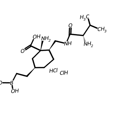 CC(C)[C@H](N)C(=O)NC[C@H]1CC[C@@H](CCB(O)O)C[C@]1(N)C(=O)O.Cl.Cl